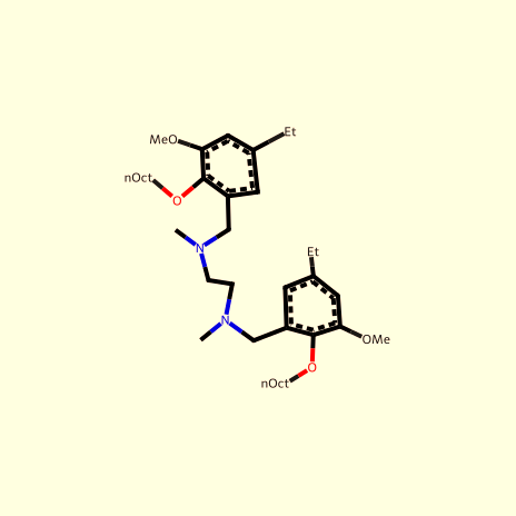 CCCCCCCCOc1c(CN(C)CCN(C)Cc2cc(CC)cc(OC)c2OCCCCCCCC)cc(CC)cc1OC